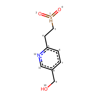 O=[SH](=O)CCc1ccc(CO)cn1